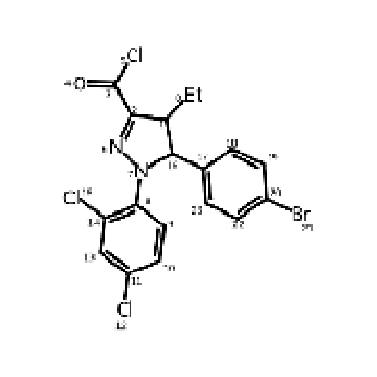 CCC1C(C(=O)Cl)=NN(c2ccc(Cl)cc2Cl)C1c1ccc(Br)cc1